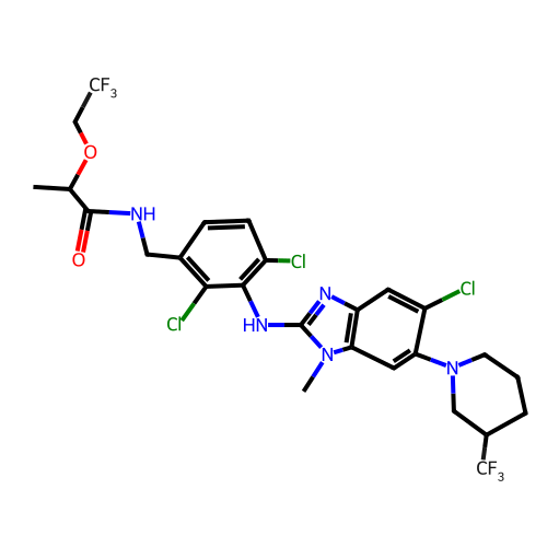 CC(OCC(F)(F)F)C(=O)NCc1ccc(Cl)c(Nc2nc3cc(Cl)c(N4CCCC(C(F)(F)F)C4)cc3n2C)c1Cl